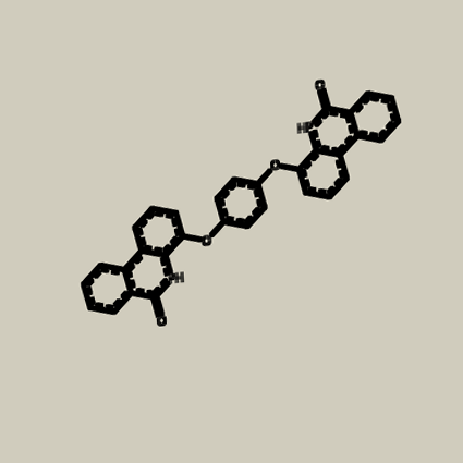 O=c1[pH]c2c(Oc3ccc(Oc4cccc5c4[pH]c(=O)c4ccccc45)cc3)cccc2c2ccccc12